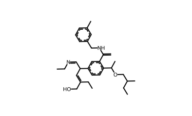 C=C(NCc1cccc(C)c1)c1cc(C(/C=N\CC)/C=C(\CC)CO)ccc1C(C)OCC(C)CC